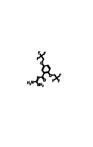 NC(N)=NC(=O)c1cc(OCC(F)(F)F)ccc1OCC(F)(F)F